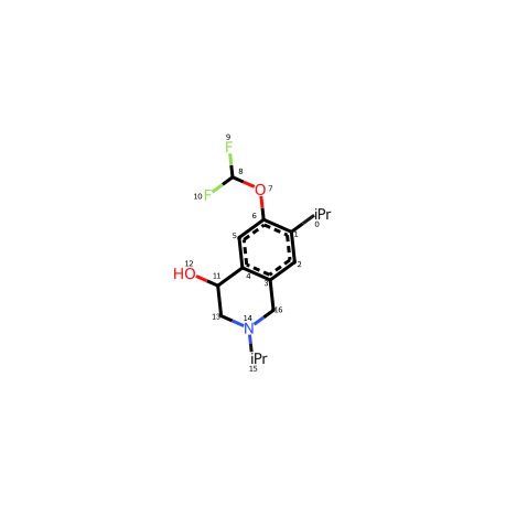 CC(C)c1cc2c(cc1OC(F)F)C(O)CN(C(C)C)C2